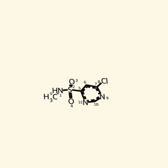 CNS(=O)(=O)c1cc(Cl)ncn1